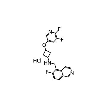 Cl.Fc1cc(OC2CC(NCc3c(F)ccc4cnccc34)C2)cnc1F